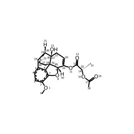 COc1ccc2c3c1O[C@H]1C(OC(=O)[C@H](C)OC(C)=O)=CC[C@@]4(O)[C@H](CCC[C@]314)C2